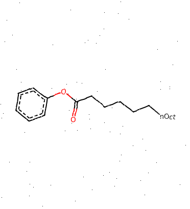 CCCCCCCCCCCCCC(=O)Oc1ccccc1